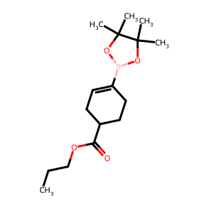 CCCOC(=O)C1CC=C(B2OC(C)(C)C(C)(C)O2)CC1